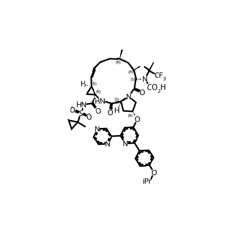 CC(C)Oc1ccc(-c2cc(O[C@@H]3C[C@H]4C(=O)N[C@]5(C(=O)NS(=O)(=O)C6(C)CC6)C[C@H]5C=CCC[C@@H](C)C[C@@H](C)[C@H](N(C(=O)O)C(C)(C)C(F)(F)F)C(=O)N4C3)cc(-c3cnccn3)n2)cc1